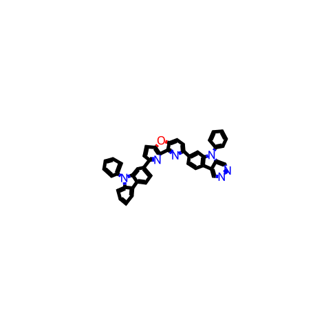 c1ccc(-n2c3ccccc3c3ccc(-c4ccc5oc6ccc(-c7ccc8c9cnncc9n(-c9ccccc9)c8c7)nc6c5n4)cc32)cc1